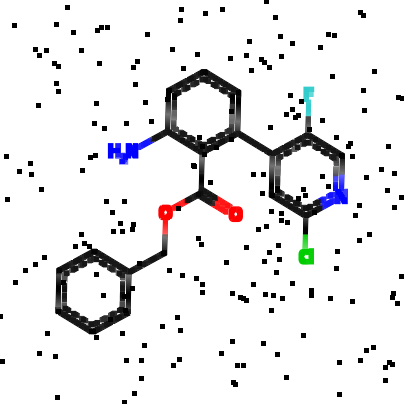 Nc1cccc(-c2cc(Cl)ncc2F)c1C(=O)OCc1ccccc1